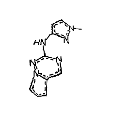 Cn1ccc(Nc2ncc3cccn3n2)n1